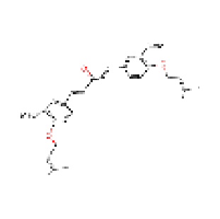 COc1cc(C=CC(=O)C=Cc2ccc(OCC=C(C)C)c(OC)c2)ccc1OCC=C(C)C